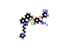 N#Cc1cncc(COc2cc(OCc3cccc(-c4cccc5c4cnn5CCCCN4CCCC4)c3Br)c(Cl)cc2CN)c1